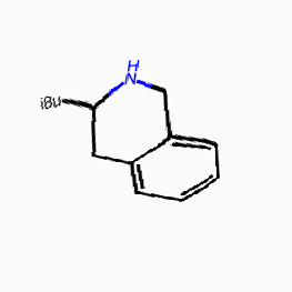 CCC(C)C1Cc2ccccc2CN1